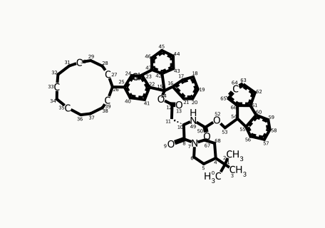 CC(C)(C)C1CCN(C(=O)[C@H](CC(=O)OC(c2ccccc2)(c2ccc(C3CCCCCCCCCCCCC3)cc2)c2ccccc2Cl)NC(=O)OCC2c3ccccc3-c3ccccc32)CC1